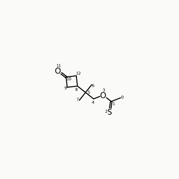 CC(=S)OCC(C)(C)C1CC(=O)C1